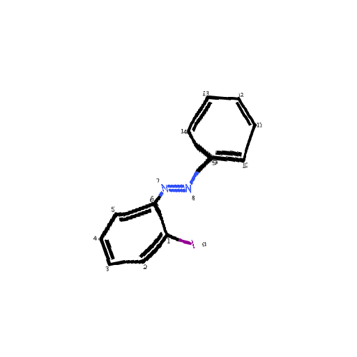 Ic1ccccc1/N=N/c1ccccc1